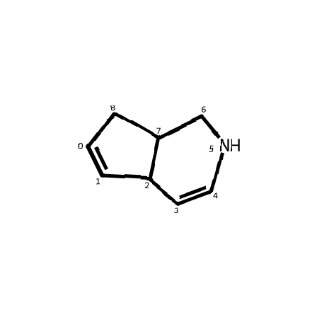 C1=CC2C=CNCC2C1